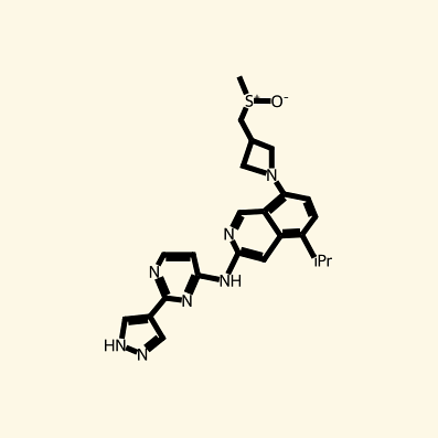 CC(C)c1ccc(N2CC(C[S+](C)[O-])C2)c2cnc(Nc3ccnc(-c4cn[nH]c4)n3)cc12